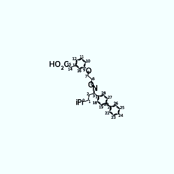 CC(C)CC/C(=N\OCCOc1cccc(CC(=O)O)c1)c1ccc(-c2ccccc2)cc1